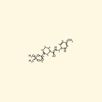 CC1=CNC(CNC(=O)C2CCCN(C(=O)OC(C)(C)C)C2)C=C1